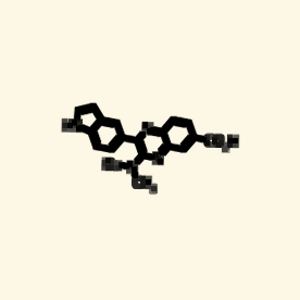 CCC(C)N(C)c1nc2cc(C(=O)O)ccc2nc1-c1ccc2[nH]ccc2c1